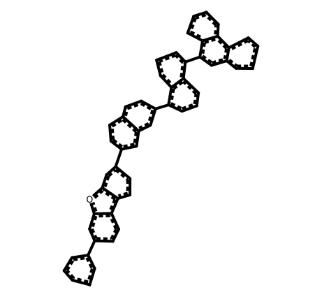 c1ccc(-c2ccc3c(c2)oc2cc(-c4ccc5ccc(-c6cccc7c(-c8cc9ccccc9c9ccccc89)cccc67)cc5c4)ccc23)cc1